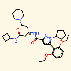 CCOc1cccc(OCC)c1-c1cc(C(=O)N[C@@H](CCN2CCCCC2)CC(=O)NC2CCC2)nn1C1CCCC1